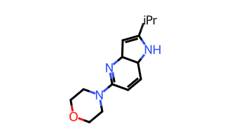 CC(C)C1=CC2N=C(N3CCOCC3)C=CC2N1